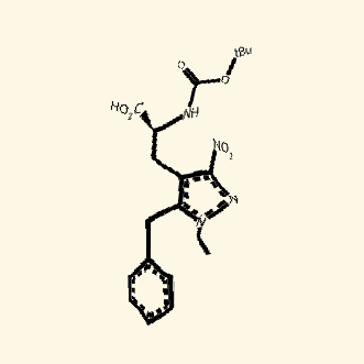 Cn1nc([N+](=O)[O-])c(C[C@H](NC(=O)OC(C)(C)C)C(=O)O)c1Cc1ccccc1